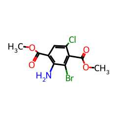 COC(=O)c1cc(Cl)c(C(=O)OC)c(Br)c1N